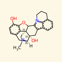 CN1CC[C@]23c4c5ccc(O)c4OC2c2c(c4cccc6c4n2CCC6)C[C@@]3(O)[C@H]1C5